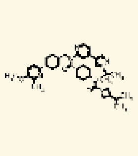 COc1ccc([C@H]2CC[C@H](CN(c3cc(-c4cnn(C(C)C)c4)ccn3)C(=O)[C@H]3CC[C@H](OC(=O)N4CC(C(C)C)C4)CC3)CC2)nc1C